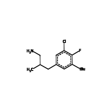 CC(CN)Cc1cc(Cl)c(F)c(C(C)(C)C)c1